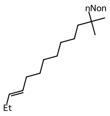 [CH2]CC=CCCCCCCCC(C)(C)CCCCCCCC[CH2]